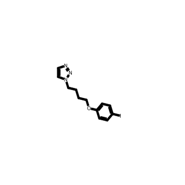 Ic1ccc(OCCCCn2ccnn2)cc1